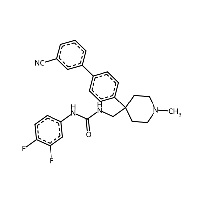 CN1CCC(CNC(=O)Nc2ccc(F)c(F)c2)(c2ccc(-c3cccc(C#N)c3)cc2)CC1